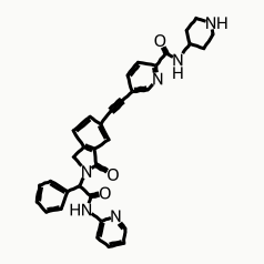 O=C(NC1CCNCC1)c1ccc(C#Cc2ccc3c(c2)C(=O)N(C(C(=O)Nc2ccccn2)c2ccccc2)C3)cn1